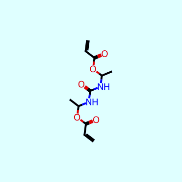 C=CC(=O)OC(C)NC(=O)NC(C)OC(=O)C=C